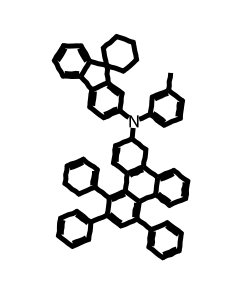 Cc1cccc(N(c2ccc3c(c2)C2(CCCCC2)c2ccccc2-3)C2C=Cc3c(c4ccccc4c4c(-c5ccccc5)cc(-c5ccccc5)c(C5=CC=CCC5)c34)C2)c1